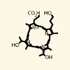 CC1=C(CCCO)c2cc3[nH]c(cc4nc(cc5[nH]c(cc1n2)c(C)c5C(C)O)C(C)=C4C(C)O)c(C)c3CCC(=O)O